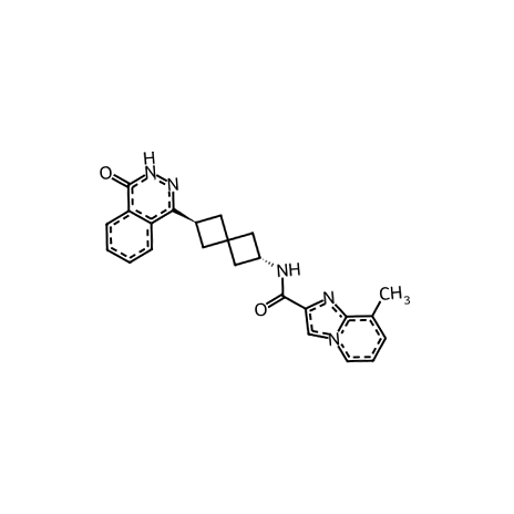 Cc1cccn2cc(C(=O)N[C@H]3CC4(C3)C[C@H](c3n[nH]c(=O)c5ccccc53)C4)nc12